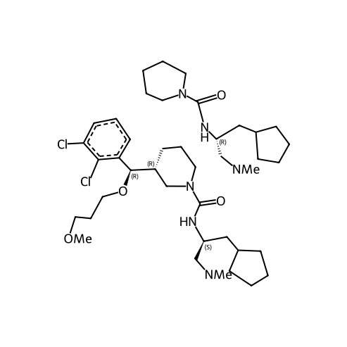 CNC[C@@H](CC1CCCC1)NC(=O)N1CCCCC1.CNC[C@H](CC1CCCC1)NC(=O)N1CCC[C@@H]([C@@H](OCCCOC)c2cccc(Cl)c2Cl)C1